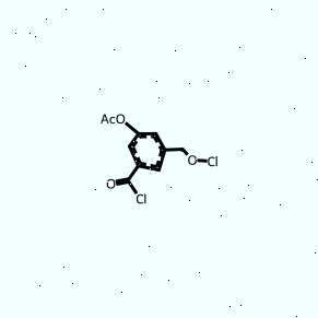 CC(=O)Oc1cc(COCl)cc(C(=O)Cl)c1